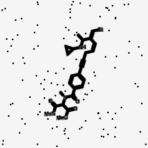 CC/C=C(\C=C/CC#Cc1ccc(C(=O)N(C)C(C(=O)NC)C(=O)OC)cc1)C(C)NC1CC1